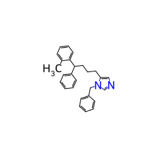 Cc1ccccc1C(CCCc1cncn1Cc1ccccc1)c1ccccc1